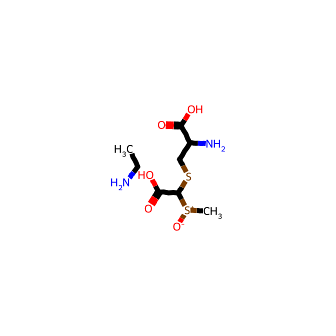 CCN.C[S+]([O-])C(SCC(N)C(=O)O)C(=O)O